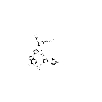 CC(C)(C)OC(=O)N[C@H](CC(CN=[N+]=[N-])SSC(C)(C)C)C(=O)O[C@H]1[C@@H](O)[C@H](n2cnc3c(N)ncnc32)O[C@H]1COP(=O)(O)O[C@H]1C[C@H](n2ccc(N)nc2=O)O[C@@H]1COP(=O)(O)O